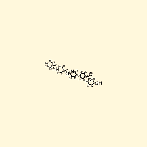 CC1(CN2CCC(COc3ccc(-c4ccc(C(=O)N5CCC[C@@H](O)C5)cc4)cn3)CC2)CCCCC1